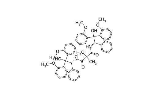 COc1ccccc1C(O)(c1ccccc1OC)[C@H](NC(=O)C(C)(C)C(=O)N[C@H](c1ccccc1)C(O)(c1ccccc1OC)c1ccccc1OC)c1ccccc1